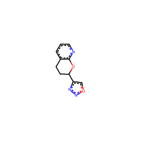 c1cnc2c(c1)CCC(c1conn1)O2